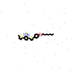 CCCCCCCCOc1ccc(-c2ccc(-c3ccc(-c4ccc(C)s4)c4nsnc34)s2)cc1